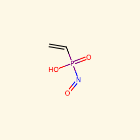 C=CP(=O)(O)N=O